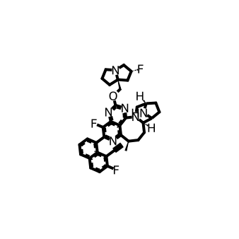 C#Cc1c(F)ccc2cccc(-c3nc4c5c(nc(OC[C@@]67CCCN6C[C@H](F)C7)nc5c3F)N3C[C@H]5CCC(N5)[C@H]3CC[C@H]4C)c12